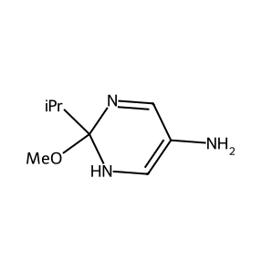 COC1(C(C)C)N=CC(N)=CN1